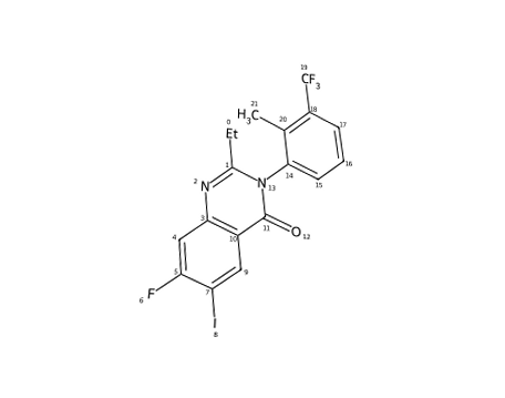 CCc1nc2cc(F)c(I)cc2c(=O)n1-c1cccc(C(F)(F)F)c1C